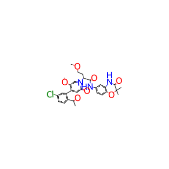 COCCC(C(=O)Nc1ccc2c(c1)NC(=O)C(C)(C)O2)n1cc(OC)c(-c2cc(Cl)ccc2C(C)=O)cc1=O